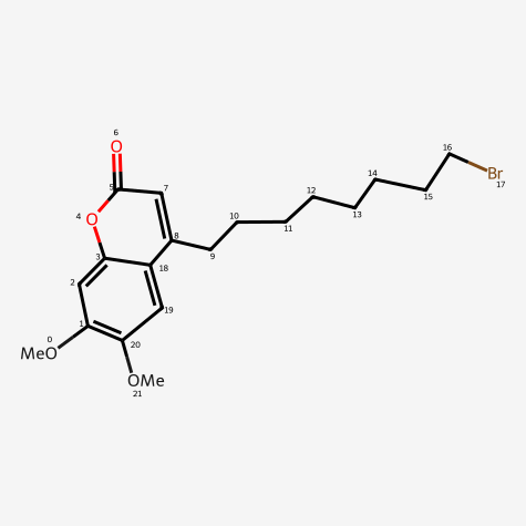 COc1cc2oc(=O)cc(CCCCCCCCBr)c2cc1OC